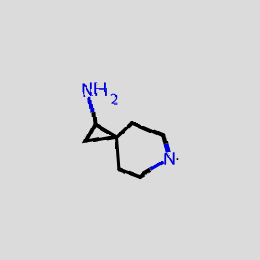 NC1CC12CC[N]CC2